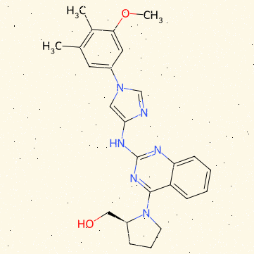 COc1cc(-n2cnc(Nc3nc(N4CCC[C@H]4CO)c4ccccc4n3)c2)cc(C)c1C